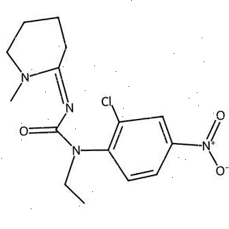 CCN(C(=O)N=C1CCCCN1C)c1ccc([N+](=O)[O-])cc1Cl